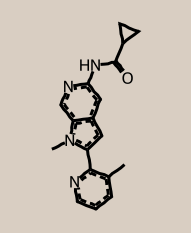 Cc1cccnc1-c1cc2cc(NC(=O)C3CC3)ncc2n1C